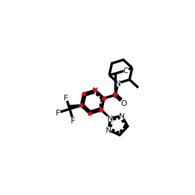 Cc1cnc(C(=O)N2C(C)C3CCC2C(Oc2ccc(C(F)(F)F)cn2)C3)c(-n2nccn2)c1